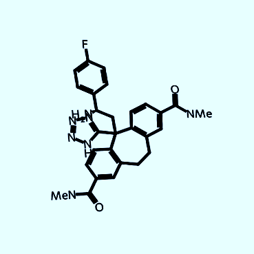 CNC(=O)c1ccc2c(c1)CCc1cc(C(=O)NC)ccc1C2(C[C@@H](N)c1ccc(F)cc1)c1nnn[nH]1